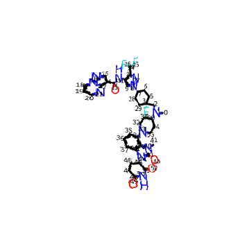 CN(C[C@]1(F)CC[C@@H](n2cc(NC(=O)c3cnn4cccnc34)c(C(F)F)n2)CC1)C1CCN(c2cccc3c2n(C)c(=O)n3C2CCC(=O)NC2=O)CC1